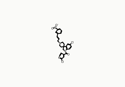 O=C(c1ccnc(Cl)c1)N1CC2(CCN(C/C=C/c3cccc([N+](=O)[O-])c3)CC2)c2cc(Cl)ccc21